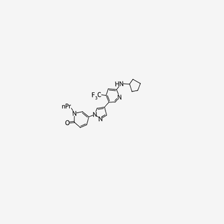 CCCn1cc(-n2cc(-c3cnc(NC4CCCC4)cc3C(F)(F)F)cn2)ccc1=O